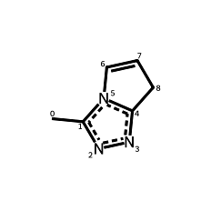 Cc1nnc2n1C=CC2